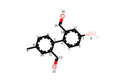 Bc1ccc(-c2ccc(C)cc2C=O)c(C=O)c1